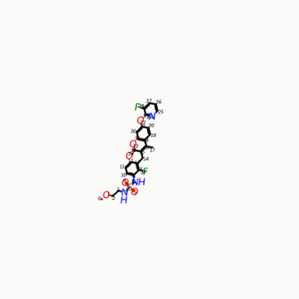 COCCNS(=O)(=O)Nc1cccc(Cc2c(C)c3ccc(Oc4ncccc4F)cc3oc2=O)c1F